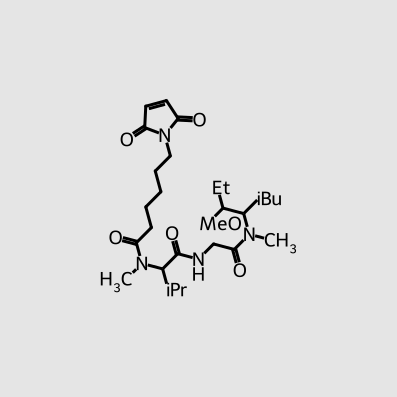 CCC(C)C(C(CC)OC)N(C)C(=O)CNC(=O)C(C(C)C)N(C)C(=O)CCCCCN1C(=O)C=CC1=O